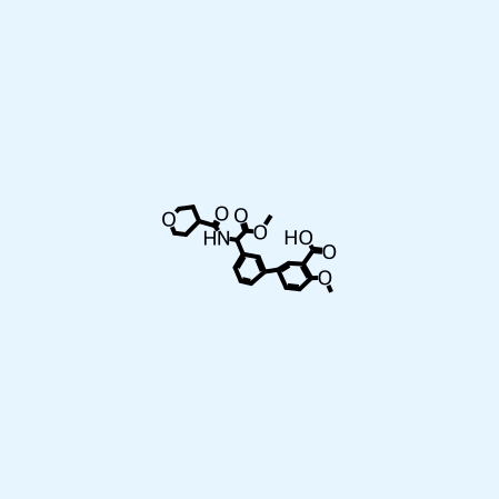 COC(=O)C(NC(=O)C1CCOCC1)c1cccc(-c2ccc(OC)c(C(=O)O)c2)c1